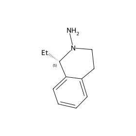 CC[C@H]1c2ccccc2CCN1N